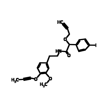 C#CCOC(C(=O)NCCc1ccc(OC#CC)c(OC)c1)c1ccc(I)cc1